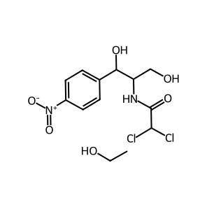 CCO.O=C(NC(CO)C(O)c1ccc([N+](=O)[O-])cc1)C(Cl)Cl